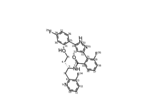 O=C(N[C@@H](CCO)Cc1ncccc1F)c1cccc(F)c1-c1cc(-c2ccc(F)cc2)[nH]n1